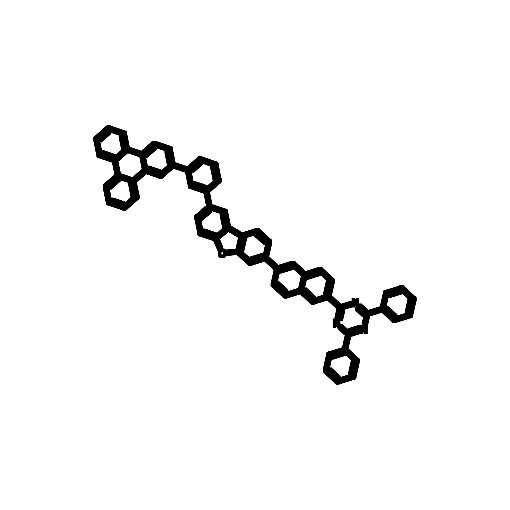 c1ccc(-c2nc(-c3ccccc3)nc(-c3ccc4cc(-c5ccc6c(c5)oc5ccc(-c7cccc(-c8ccc9c%10ccccc%10c%10ccccc%10c9c8)c7)cc56)ccc4c3)n2)cc1